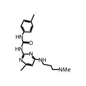 CNCCCNc1cc(C)nc(NC(=O)Nc2ccc(C)cc2)n1